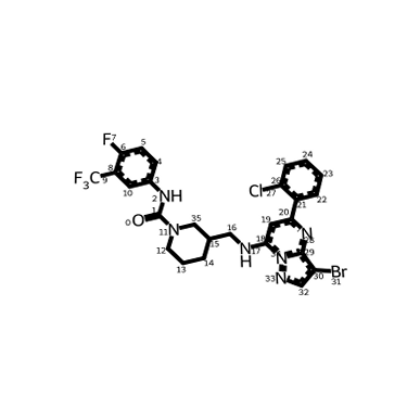 O=C(Nc1ccc(F)c(C(F)(F)F)c1)N1CCCC(CNc2cc(-c3ccccc3Cl)nc3c(Br)cnn23)C1